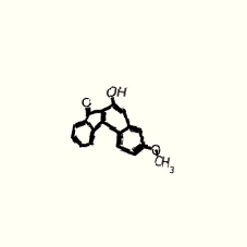 COc1ccc2c3c(c(O)cc2c1)C(=O)c1ccccc1-3